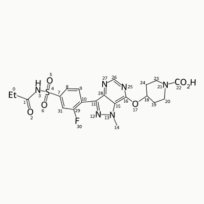 CCC(=O)NS(=O)(=O)c1ccc(-c2nn(C)c3c(OC4CCN(C(=O)O)CC4)ncnc23)c(F)c1